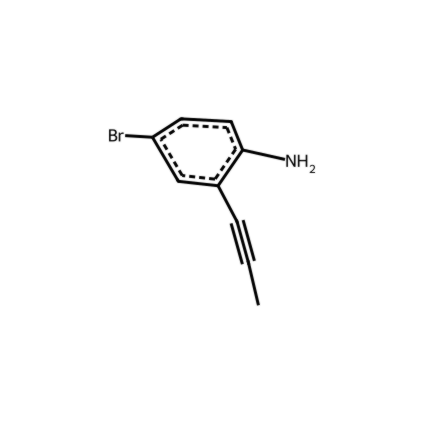 CC#Cc1cc(Br)ccc1N